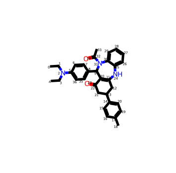 CCN(CC)c1ccc(C2C3=C(CC(c4ccc(C)cc4)CC3=O)Nc3ccccc3N2C(C)=O)cc1